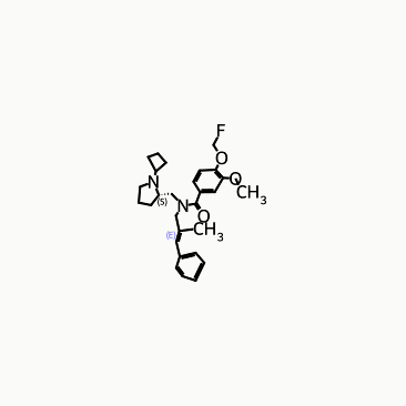 COc1cc(C(=O)N(C/C(C)=C/c2ccccc2)C[C@@H]2CCCN2C2CCC2)ccc1OCF